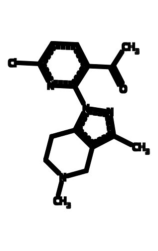 CC(=O)c1ccc(Cl)nc1-n1nc(C)c2c1CCN(C)C2